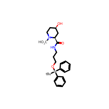 CC(C)(C)[Si](OCCCNC(=O)[C@@H]1C[C@H](O)CCN1C(=O)O)(c1ccccc1)c1ccccc1